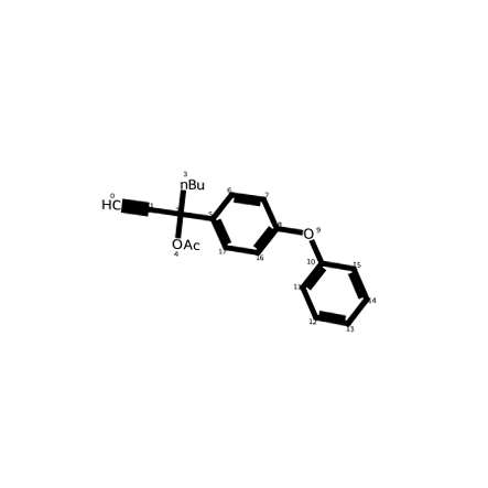 C#CC(CCCC)(OC(C)=O)c1ccc(Oc2ccccc2)cc1